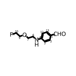 O=Cc1ccc(NCCOCCF)cc1